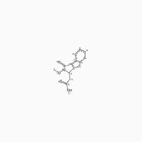 CON1C(=O)n2c(cc3ccccc32)C1CC(O)=S